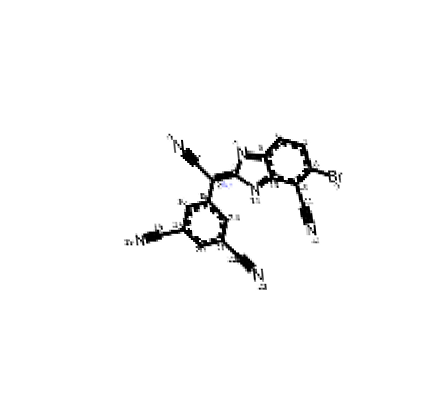 N#C/C(=C1\N=c2ccc(Br)c(C#N)c2=N1)c1cc(C#N)cc(C#N)c1